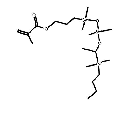 C=C(C)C(=O)OCCC[Si](C)(C)O[Si](C)(C)OC(C)[Si](C)(C)CCCC